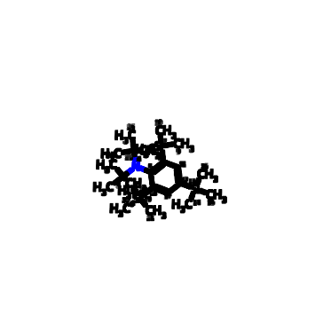 CC(C)(C)N(c1c([Si](C)(C)C)cc([Si](C)(C)C)cc1[Si](C)(C)C)C(C)(C)C